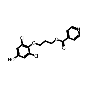 O=C(OCCCOc1c(Cl)cc(O)cc1Cl)c1ccncc1